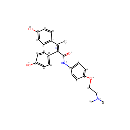 CC/C(=C(\C(=O)Nc1ccc(OCCN(C)C)cc1)c1ccc(O)cc1)c1ccc(O)cc1